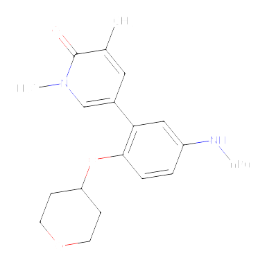 CCCCNc1ccc(OC2CCOCC2)c(-c2cc(C)c(=O)n(C)c2)c1